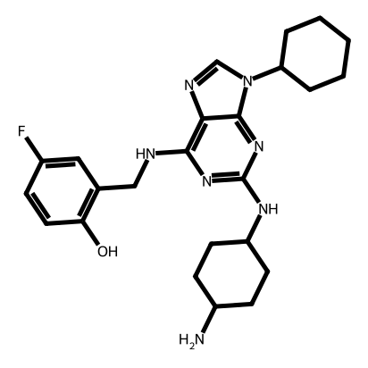 NC1CCC(Nc2nc(NCc3cc(F)ccc3O)c3ncn(C4CCCCC4)c3n2)CC1